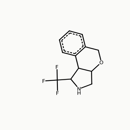 FC(F)(F)C1NCC2OCc3ccccc3C21